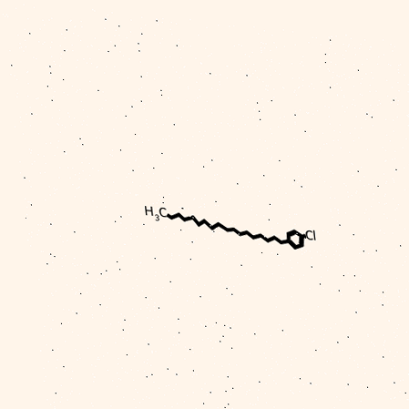 CCCCCCCCCCCCCCCCCCc1ccc(Cl)cc1